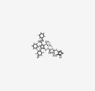 CC(C)c1c(C(=O)Nc2ccccc2)c(-c2ccccc2)c(-c2ccc(F)cc2)n1CC[C@@H](O)C[C@@H](O)Cn1nn[nH]c1=O